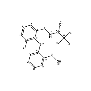 Cc1cccc(CN[S+]([O-])C(C)(C)C)c1Sc1ccccc1CO